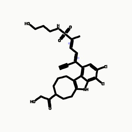 C#C/C(=C\C=C(/C)S(=O)(=O)NCCCO)c1cc(Cl)c(Cl)c2[nH]c3c(c12)CCCC(C(=O)CO)CC3